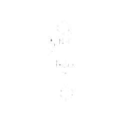 O=C(Nc1ccccc1)[C@@H]1CCCN(C(=O)OCc2ccccc2)C1